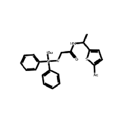 CC(=O)c1ccc(C(C)NC(=O)CO[Si](c2ccccc2)(c2ccccc2)C(C)(C)C)s1